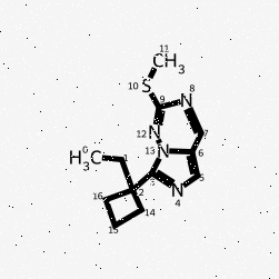 CCC1(c2ncc3cnc(SC)nn23)CCC1